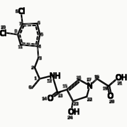 CC(CCc1ccc(Cl)c(Cl)c1)NC(=O)C1=CN(CC(=O)O)CC1O